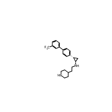 FC(F)(F)c1cccc(-c2ccc([C@@H]3C[C@H]3NCCC3CCNCC3)cc2)c1